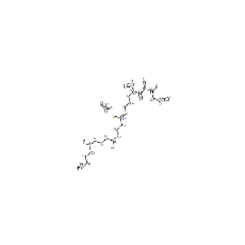 C/C(=C\CSC[C@H](NC(=O)N(C)CC(=O)[O-])C(=O)[O-])CCCC(C)CCCC(C)CCCC(C)C.[Na+].[Na+]